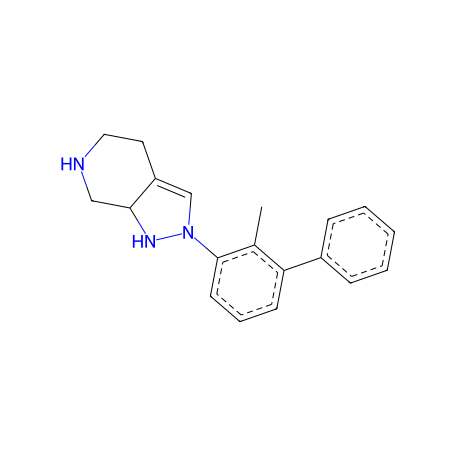 Cc1c(-c2ccccc2)cccc1N1C=C2CCNCC2N1